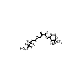 C=C(COCCC(F)(F)C(F)(F)S(=O)(=O)O)C(=O)OC1CCOC(O)(C(F)(F)F)C1